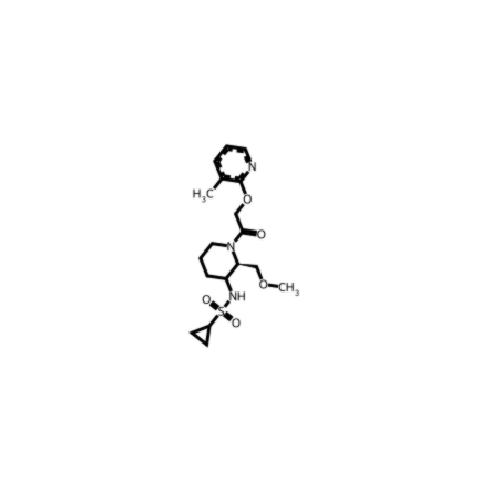 COC[C@H]1C(NS(=O)(=O)C2CC2)CCCN1C(=O)COc1ncccc1C